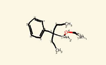 CCC(CC)([SiH2]O[SiH3])c1ccccc1